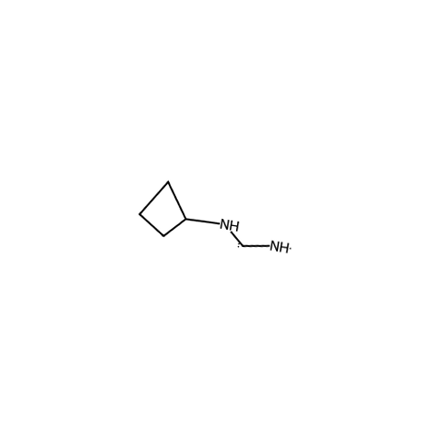 [NH][C]NC1CCC1